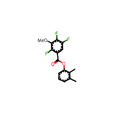 COc1c(F)c(F)cc(C(=O)Oc2cccc(C)c2C)c1F